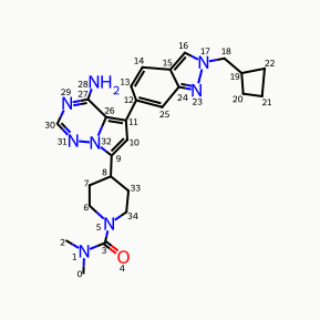 CN(C)C(=O)N1CCC(c2cc(-c3ccc4cn(CC5CCC5)nc4c3)c3c(N)ncnn23)CC1